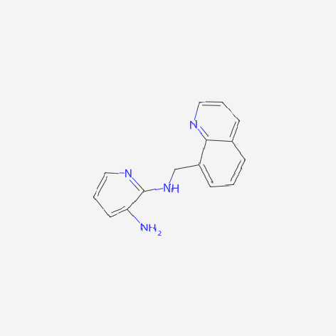 Nc1cccnc1NCc1cccc2cccnc12